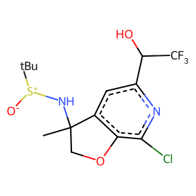 CC1(N[S+]([O-])C(C)(C)C)COc2c1cc(C(O)C(F)(F)F)nc2Cl